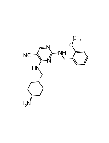 N#Cc1cnc(NCc2ccccc2OC(F)(F)F)nc1NC[C@H]1CC[C@H](N)CC1